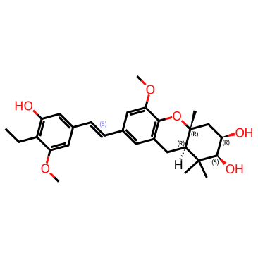 CCc1c(O)cc(/C=C/c2cc3c(c(OC)c2)O[C@]2(C)C[C@@H](O)[C@@H](O)C(C)(C)[C@H]2C3)cc1OC